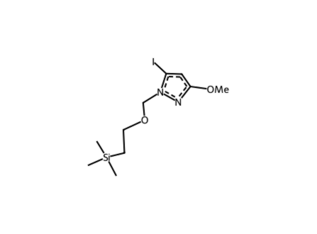 COc1cc(I)n(COCC[Si](C)(C)C)n1